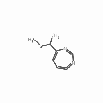 CSC(C)C1=CC=C=NC=N1